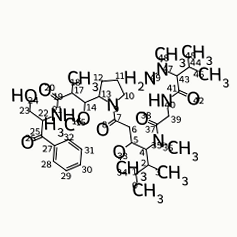 CCC(C)C(C(CC(=O)N1CCCC1C(OC)C(C)C(=O)NC(CO)C(=O)c1ccccc1)OC)N(C)C(=O)CNC(=O)C(C(C)C)N(C)N